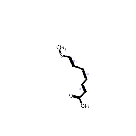 CS/C=C/C=C\C=C\C(=O)O